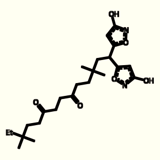 CCC(C)(C)CCC(=O)CCC(=O)CCC(C)(C)CC(c1cc(O)no1)c1cc(O)no1